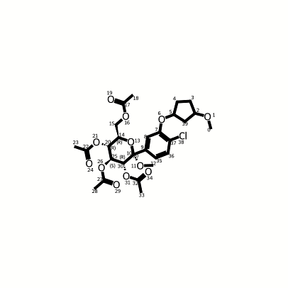 COC1CCC(Oc2cc([C@]3(OC)O[C@H](COC(C)=O)[C@@H](OC(C)=O)[C@H](OC(C)=O)[C@H]3OC(C)=O)ccc2Cl)C1